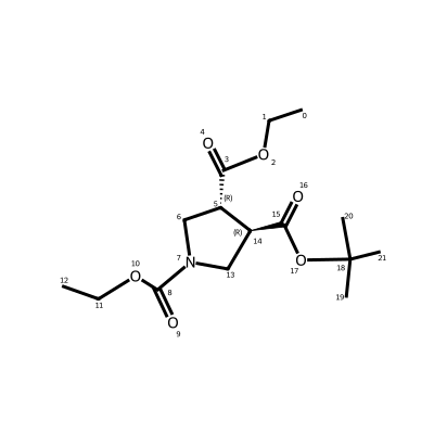 CCOC(=O)[C@H]1CN(C(=O)OCC)C[C@@H]1C(=O)OC(C)(C)C